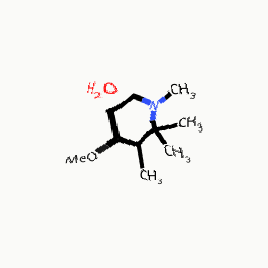 COC1CCN(C)C(C)(C)C1C.O